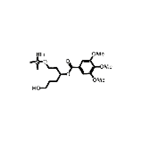 COc1cc(C(=O)OC(CCCO)CCO[Si](C)(C)C(C)(C)C)cc(OC)c1OC